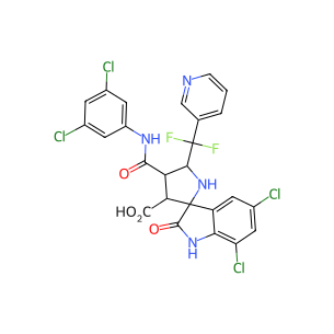 O=C(Nc1cc(Cl)cc(Cl)c1)C1C(C(F)(F)c2cccnc2)NC2(C(=O)Nc3c(Cl)cc(Cl)cc32)C1C(=O)O